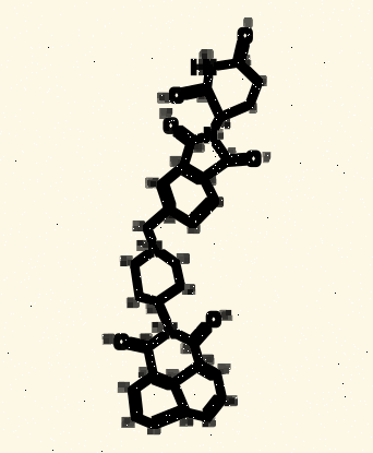 O=C1CCC(N2C(=O)c3ccc(CN4CCC(N5C(=O)c6cccc7cccc(c67)C5=O)CC4)cc3C2=O)C(=O)N1